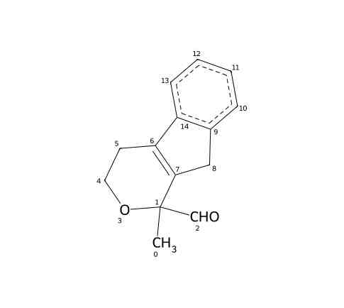 CC1(C=O)OCCC2=C1Cc1ccccc12